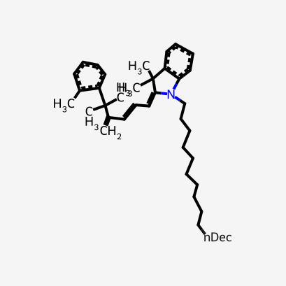 C=C(/C=C/C=C1/N(CCCCCCCCCCCCCCCCCCCC)c2ccccc2C1(C)C)C(C)(C)c1ccccc1C